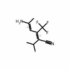 C/C(N)=C\C(=C(\C#N)C(C)C)C(F)(F)F